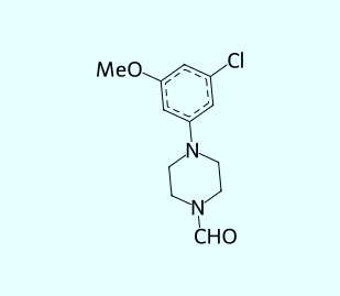 COc1cc(Cl)cc(N2CCN(C=O)CC2)c1